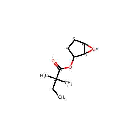 CCC(C)(C)C(=O)OC1CCC2OC12